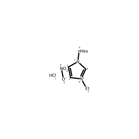 CCCCCCn1cc[n+](CC)c1.Cl.O=[N+]([O-])[O-]